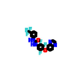 O=C(Nc1cccc(C(F)(F)F)c1)Nc1cc(F)c(Oc2ccc3nccnc3c2)c(F)c1F